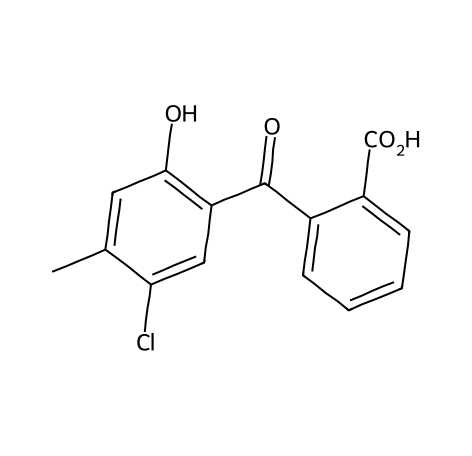 Cc1cc(O)c(C(=O)c2ccccc2C(=O)O)cc1Cl